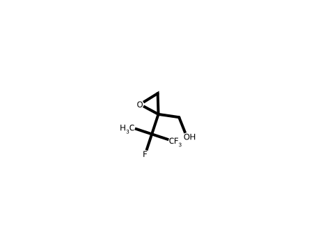 CC(F)(C(F)(F)F)C1(CO)CO1